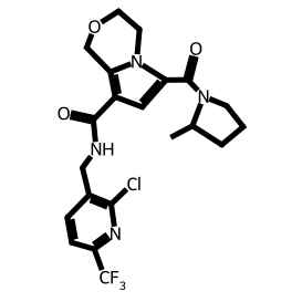 CC1CCCN1C(=O)c1cc(C(=O)NCc2ccc(C(F)(F)F)nc2Cl)c2n1CCOC2